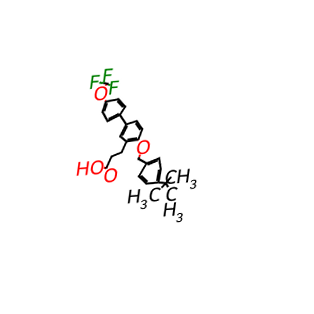 CC(C)(C)c1ccc(COc2ccc(-c3ccc(OC(F)(F)F)cc3)cc2CCC(=O)O)cc1